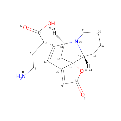 NCCCC(=O)O.O=C1C=C2C=C[C@@H]3C[C@@]2(O1)[C@H]1CCCCN31